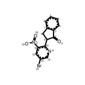 O=C1c2ccccc2CC1c1ncc(Br)cc1[N+](=O)[O-]